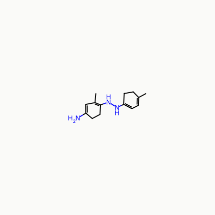 CC1=CC=C(NNC2=C(C)C=C(N)CC2)CC1